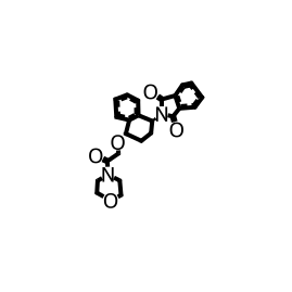 O=C(CO[C@@H]1CC[C@H](N2C(=O)c3ccccc3C2=O)c2ccccc21)N1CCOCC1